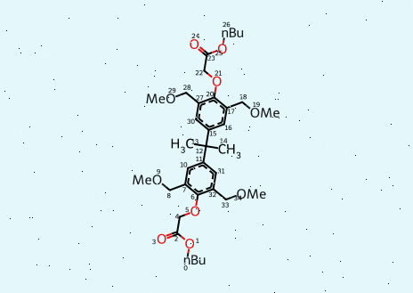 CCCCOC(=O)COc1c(COC)cc(C(C)(C)c2cc(COC)c(OCC(=O)OCCCC)c(COC)c2)cc1COC